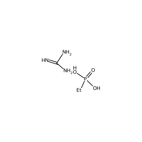 CCP(=O)(O)O.N=C(N)N